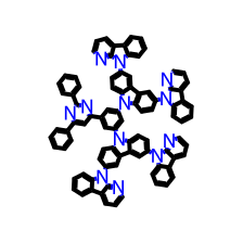 c1ccc(-c2cc(-c3cc(-n4c5ccc(-n6c7ccccc7c7cccnc76)cc5c5cc(-n6c7ccccc7c7cccnc76)ccc54)cc(-n4c5ccc(-n6c7ccccc7c7cccnc76)cc5c5cc(-n6c7ccccc7c7cccnc76)ccc54)c3)nc(-c3ccccc3)n2)cc1